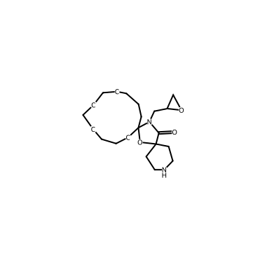 O=C1N(CC2CO2)C2(CCCCCCCCCCC2)OC12CCNCC2